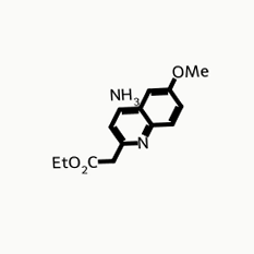 CCOC(=O)Cc1ccc2cc(OC)ccc2n1.N